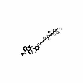 O=C(NCCCCCOc1ccc(Cl)c(COC2(c3cnccc3-c3ccccc3OC3CC3)CC2)c1)NCC(O)C(O)C(O)C(O)CO